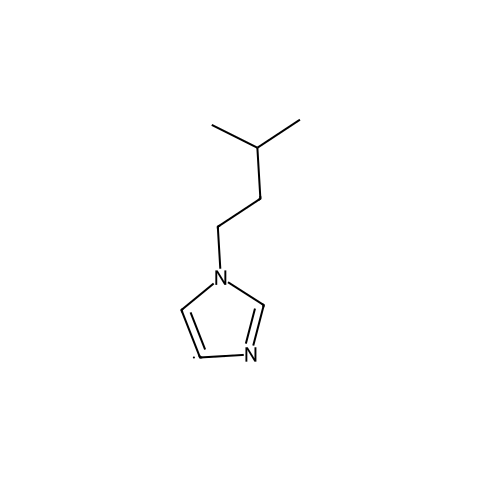 CC(C)CCn1c[c]nc1